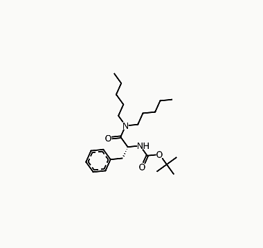 CCCCCN(CCCCC)C(=O)[C@@H](Cc1ccccc1)NC(=O)OC(C)(C)C